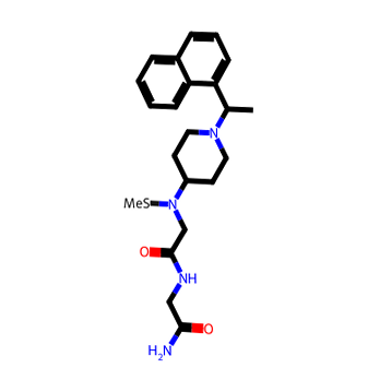 CSN(CC(=O)NCC(N)=O)C1CCN(C(C)c2cccc3ccccc23)CC1